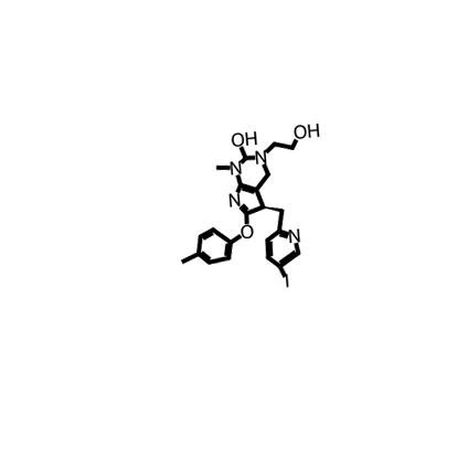 Cc1ccc(OC2=NC3=C(CN(CCO)C(O)N3C)[C@H]2Cc2ccc(I)cn2)cc1